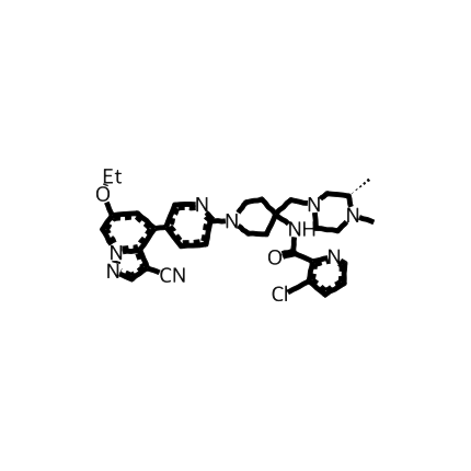 CCOc1cc(-c2ccc(N3CCC(CN4CCN(C)[C@@H](C)C4)(NC(=O)c4ncccc4Cl)CC3)nc2)c2c(C#N)cnn2c1